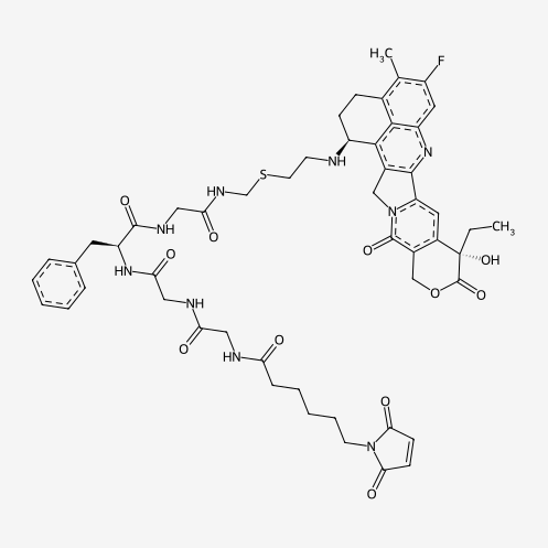 CC[C@@]1(O)C(=O)OCc2c1cc1n(c2=O)Cc2c-1nc1cc(F)c(C)c3c1c2[C@@H](NCCSCNC(=O)CNC(=O)[C@H](Cc1ccccc1)NC(=O)CNC(=O)CNC(=O)CCCCCN1C(=O)C=CC1=O)CC3